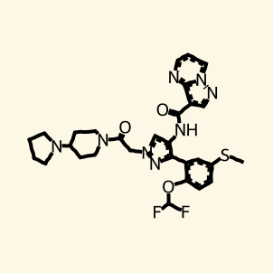 CSc1ccc(OC(F)F)c(-c2nn(CC(=O)N3CCC(N4CCCC4)CC3)cc2NC(=O)c2cnn3cccnc23)c1